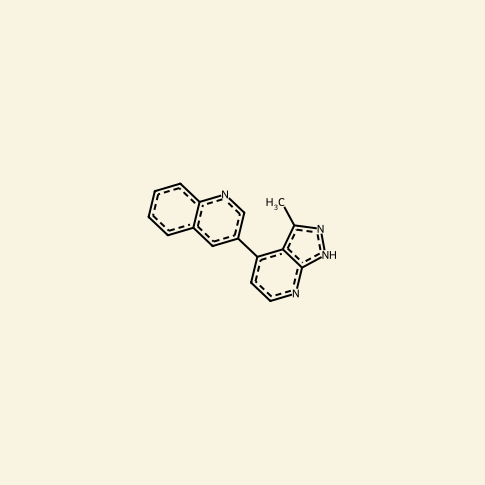 Cc1n[nH]c2nccc(-c3cnc4ccccc4c3)c12